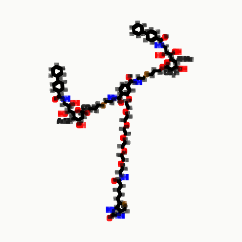 CC(=O)N[C@H]1[C@H]([C@H](O)[C@H](O)CNC(=O)c2ccc(-c3ccccc3)cc2)O[C@@](OCCCSCCNC(=O)c2ccc(C(=O)NCCSCCCO[C@]3(C(=O)O)C[C@H](O)[C@@H](NC(C)=O)[C@H]([C@H](O)[C@H](O)CNC(=O)c4ccc(-c5ccccc5)cc4)O3)c(OCCOCCOCCOCCOCCOCCNC(=O)CCCCC3SCC4NC(=O)NC43)c2)(C(=O)O)C[C@@H]1O